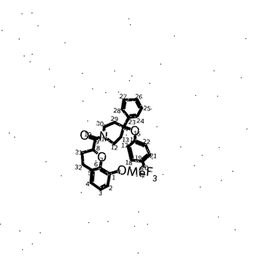 COc1cccc2c1OC(C(=O)N1CCC(Oc3ccc(C(F)(F)F)cc3)(c3ccccc3)CC1)CC2